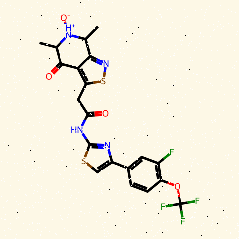 CC1C(=O)c2c(nsc2CC(=O)Nc2nc(-c3ccc(OC(F)(F)F)c(F)c3)cs2)C(C)[NH+]1[O-]